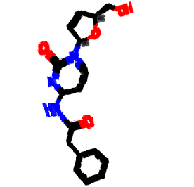 O=C(Cc1ccccc1)Nc1ccn([C@H]2C=C[C@@H](CO)O2)c(=O)n1